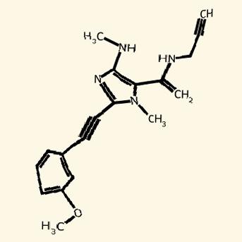 C#CCNC(=C)c1c(NC)nc(C#Cc2cccc(OC)c2)n1C